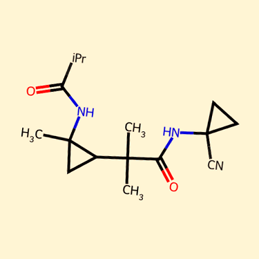 CC(C)C(=O)NC1(C)CC1C(C)(C)C(=O)NC1(C#N)CC1